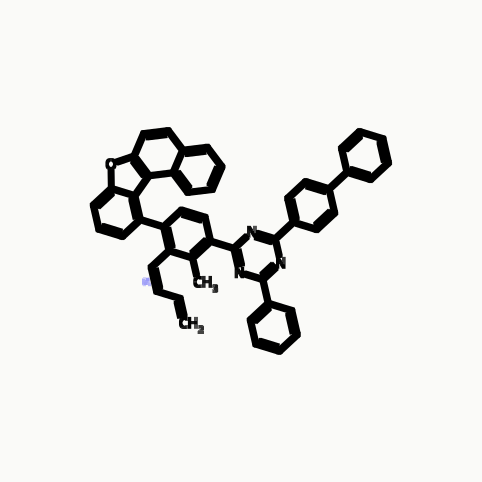 C=C/C=C\c1c(-c2cccc3oc4ccc5ccccc5c4c23)ccc(-c2nc(-c3ccccc3)nc(-c3ccc(-c4ccccc4)cc3)n2)c1C